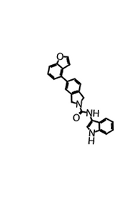 O=C(Nc1c[nH]c2ccccc12)N1Cc2ccc(-c3cccc4occc34)cc2C1